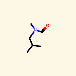 CC(C)CN(C)C=O